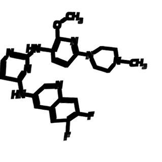 COc1nc(N2CCN(C)CC2)ccc1Nc1nccc(Nc2cnc3cc(F)c(F)cc3c2)n1